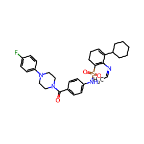 C/C=N\C1=C(S(=O)(=O)Nc2ccc(C(=O)N3CCN(c4ccc(F)cc4)CC3)cc2)CCC=C1C1CCCCC1